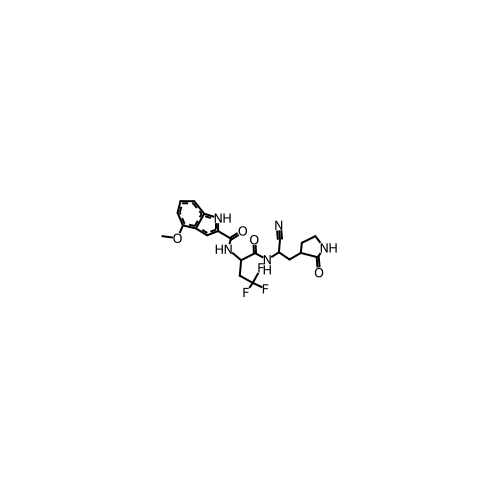 COc1cccc2[nH]c(C(=O)NC(CC(F)(F)F)C(=O)NC(C#N)CC3CCNC3=O)cc12